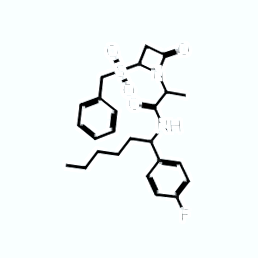 CCCCCC(NC(=O)C(C)N1C(=O)CC1S(=O)(=O)Cc1ccccc1)c1ccc(F)cc1